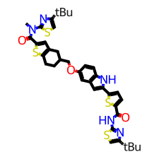 CN(C(=O)c1cc2c(s1)CCC(COc1ccc3[nH]c(-c4ccc(C(=O)Nc5nc(C(C)(C)C)cs5)s4)cc3c1)C2)c1nc(C(C)(C)C)cs1